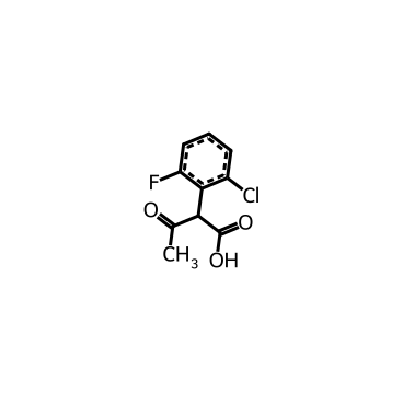 CC(=O)C(C(=O)O)c1c(F)cccc1Cl